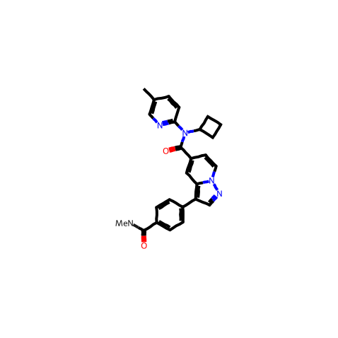 CNC(=O)c1ccc(-c2cnn3ccc(C(=O)N(c4ccc(C)cn4)C4CCC4)cc23)cc1